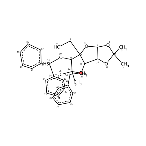 CC1(C)OC2OC(CO)(C(O[SiH](c3ccccc3)c3ccccc3)C(C)(C)C)C(OCc3ccccc3)C2O1